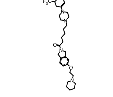 O=C(CCCCCN1CCN(C2=CC=CC(C(F)(F)F)C2)CC1)N1Cc2ccc(OCCN3CCCCC3)cc2C1